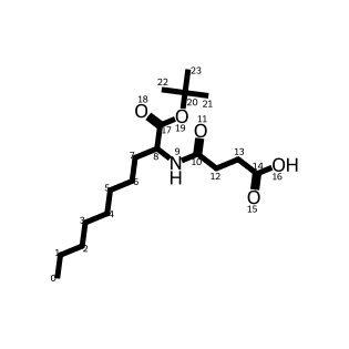 CCCCCCCCC(NC(=O)CCC(=O)O)C(=O)OC(C)(C)C